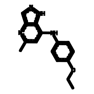 CCOc1ccc(Nc2cc(C)nc3cn[nH]c23)cc1